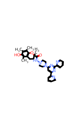 Cc1c(C)c2c(c(C)c1O)CCC(C)(C(=O)NN1CCN(c3cc(-c4ccccn4)nc(-c4ccccn4)n3)CC1)O2